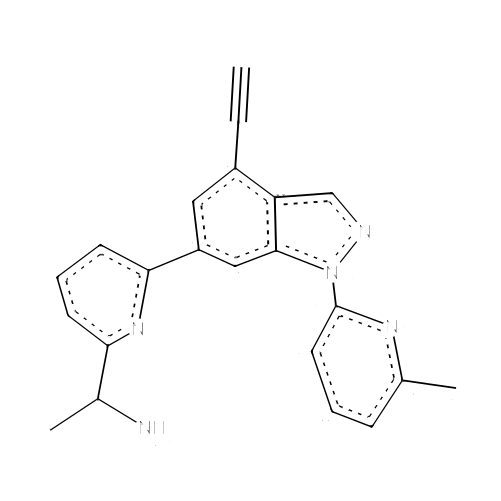 C#Cc1cc(-c2cccc(C(C)N)n2)cc2c1cnn2-c1cccc(C)n1